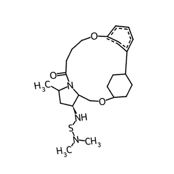 CC1C[C@H](NSN(C)C)C2COC3CCC(CC3)c3cccc(c3)OCCCC(=O)N12